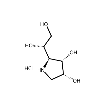 Cl.OC[C@@H](O)[C@@H]1NC[C@@H](O)[C@H]1O